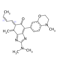 C=C1C2=NC(N(C)C)=NC2=C(c2ccc3c(c2)OCCN3C)C(=O)/C1=C/C=C\C